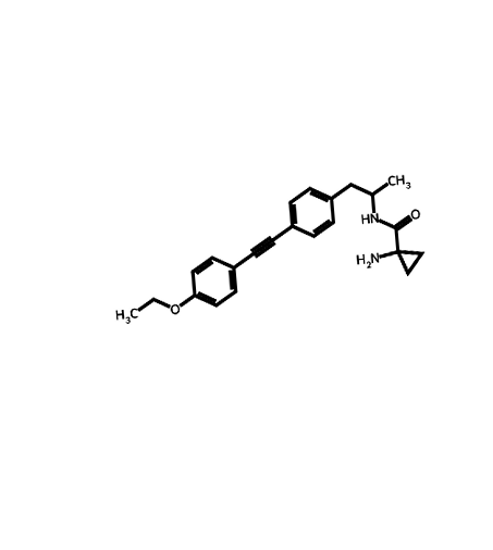 CCOc1ccc(C#Cc2ccc(CC(C)NC(=O)C3(N)CC3)cc2)cc1